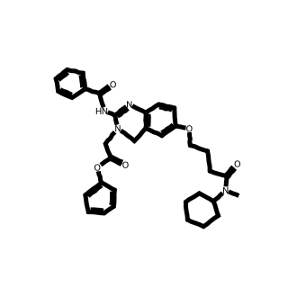 CN(C(=O)CCCOc1ccc2c(c1)CN(CC(=O)Oc1ccccc1)C(NC(=O)c1ccccc1)=N2)C1CCCCC1